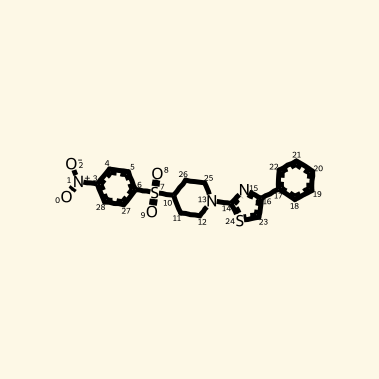 O=[N+]([O-])c1ccc(S(=O)(=O)C2CCN(c3nc(-c4ccccc4)cs3)CC2)cc1